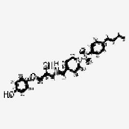 CCCCc1ccc(S(=O)(=O)N2CCC(CNC[C@@H](O)COc3ccc(O)cc3)CC2)cc1